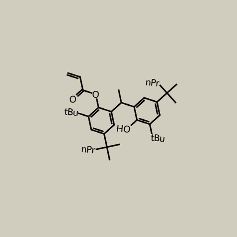 C=CC(=O)Oc1c(C(C)c2cc(C(C)(C)CCC)cc(C(C)(C)C)c2O)cc(C(C)(C)CCC)cc1C(C)(C)C